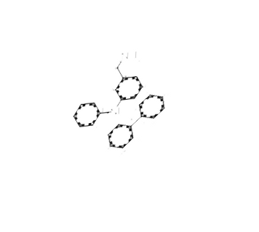 NCc1cccc(Nc2ccccc2)c1.c1ccc(-c2ccccc2)cc1